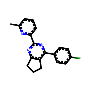 Cc1cccc(-c2nc3c(c(-c4ccc(F)cc4)n2)CCC3)n1